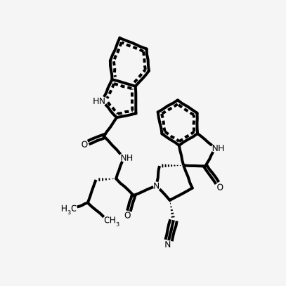 CC(C)C[C@H](NC(=O)c1cc2ccccc2[nH]1)C(=O)N1C[C@@]2(C[C@@H]1C#N)C(=O)Nc1ccccc12